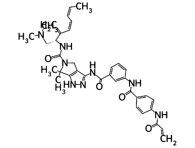 C=CC(=O)Nc1ccc(C(=O)Nc2cccc(C(=O)Nc3n[nH]c4c3CN(C(=O)N[C@H](CN(C)C)C(=C)/C=C\C=C/C)C4(C)C)c2)cc1